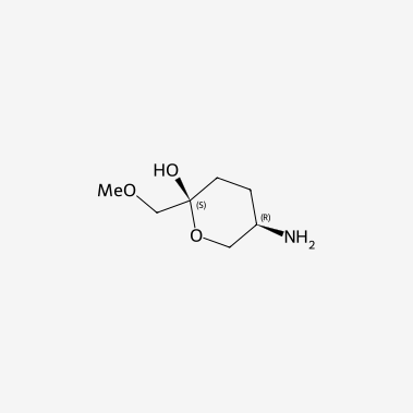 COC[C@]1(O)CC[C@@H](N)CO1